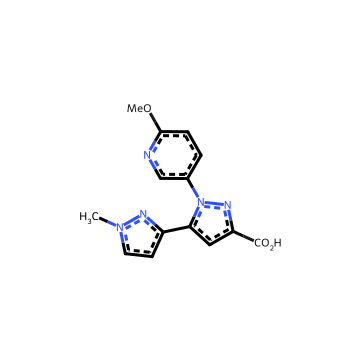 COc1ccc(-n2nc(C(=O)O)cc2-c2ccn(C)n2)cn1